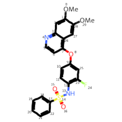 COc1cc2nccc(Oc3ccc(NS(=O)(=O)c4ccccc4)c(F)c3)c2cc1OC